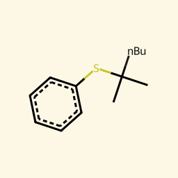 CCCCC(C)(C)Sc1ccccc1